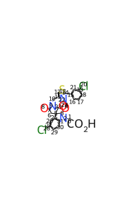 O=C(O)CN1C(=O)C2(CC(=O)N(Cc3csc(-c4cccc(Cl)c4)n3)C2=O)c2cc(Cl)ccc21